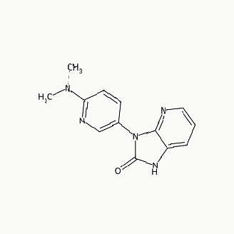 CN(C)c1ccc(-n2c(=O)[nH]c3cccnc32)cn1